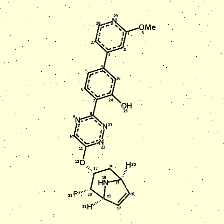 COc1cc(-c2ccc(-c3ncc(O[C@@H]4C[C@H]5C=C[C@H](N5)[C@@H]4F)nn3)c(O)c2)ccn1